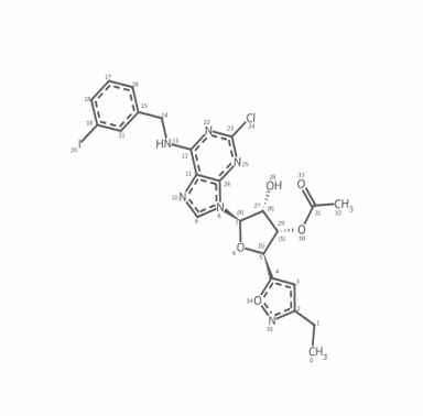 CCc1cc([C@H]2O[C@@H](n3cnc4c(NCc5cccc(I)c5)nc(Cl)nc43)[C@H](O)[C@@H]2OC(C)=O)on1